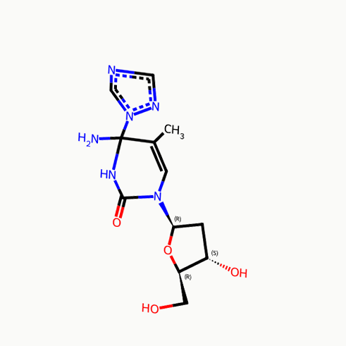 CC1=CN([C@H]2C[C@H](O)[C@@H](CO)O2)C(=O)NC1(N)n1cncn1